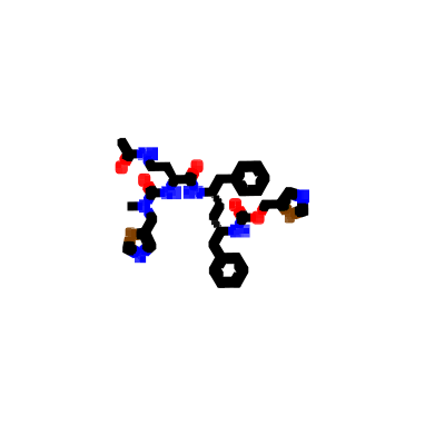 CC(=O)NCC[C@H](NC(=O)N(C)Cc1cncs1)C(=O)N[C@@H](CC[C@@H](Cc1ccccc1)NC(=O)OCc1cncs1)Cc1ccccc1